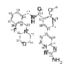 COc1ncc(-c2ccn3nc(N)nc3c2)cc1C(=O)NCc1cccc(F)c1CN1CCOCC1